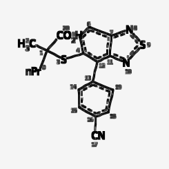 CCCC(C)(Sc1ccc2nsnc2c1-c1ccc(C#N)cc1)C(=O)O